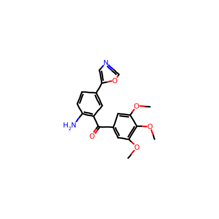 COc1cc(C(=O)c2cc(-c3cnco3)ccc2N)cc(OC)c1OC